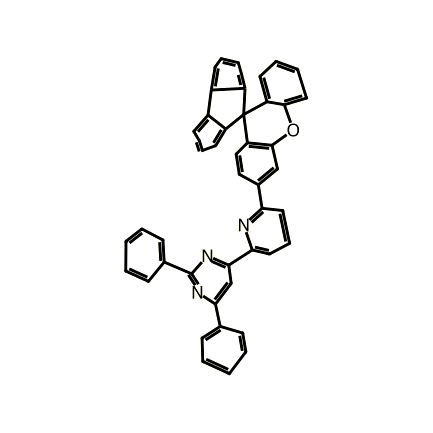 c1ccc(-c2cc(-c3cccc(-c4ccc5c(c4)Oc4ccccc4C54c5ccccc5-c5ccccc54)n3)nc(-c3ccccc3)n2)cc1